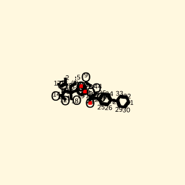 C=C(C)[C@H]([C@H](C)OC(C)=O)C12C(OC(=O)[C@@H]1OC)OC13[C@@H](OC(=O)c4ccc(-c5ccccc5)cc4)OC12CC[C@@H]3C(C)C(=O)OC